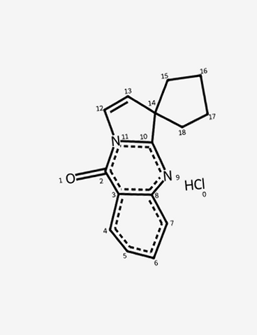 Cl.O=c1c2ccccc2nc2n1C=CC21CCCC1